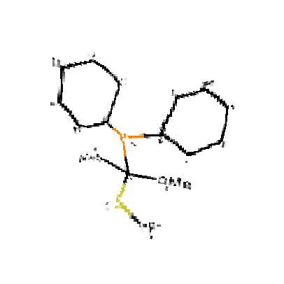 CCCSC(OC)(SC)P(C1CCCCC1)C1CCCCC1